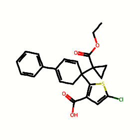 CCOC(=O)C1(C2(c3sc(Cl)cc3C(=O)O)C=CC(c3ccccc3)=CC2)CC1